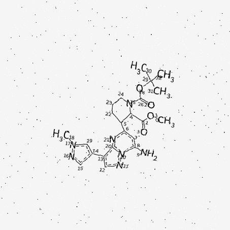 COC(=O)C1C(c2cc(N)n3ncc(-c4cnn(C)c4)c3n2)CCCN1C(=O)OC(C)(C)C